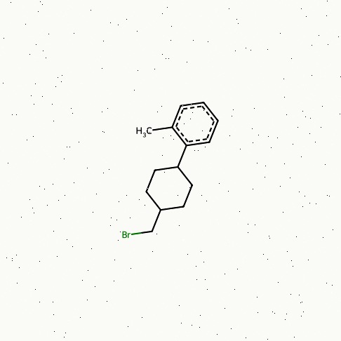 Cc1ccccc1C1CCC(CBr)CC1